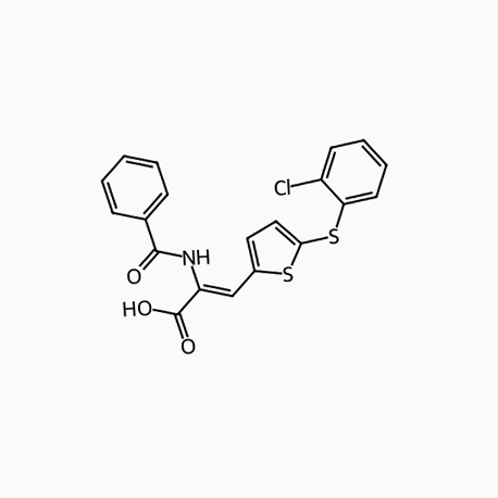 O=C(O)/C(=C/c1ccc(Sc2ccccc2Cl)s1)NC(=O)c1ccccc1